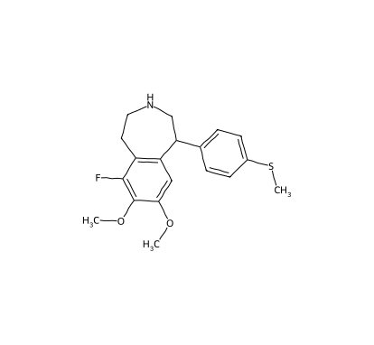 COc1cc2c(c(F)c1OC)CCNCC2c1ccc(SC)cc1